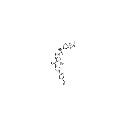 N#Cc1ccc(N2CCN(C(=O)c3nc(NC(=O)Nc4ccc(OC(F)(F)F)cc4)sc3Br)CC2)nc1